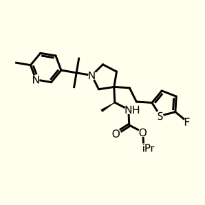 Cc1ccc(C(C)(C)N2CCC(CCc3ccc(F)s3)([C@H](C)NC(=O)OC(C)C)C2)cn1